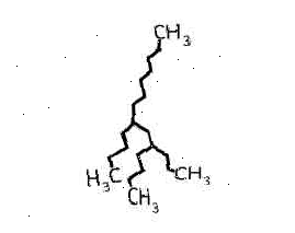 CCCCCCCC(CCCC)CC(CCC)CCCC